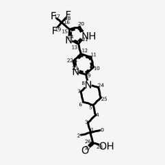 CC(C)(CCC1CCN(c2ccc(-c3nc(C(F)(F)F)c[nH]3)cn2)CC1)C(=O)O